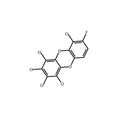 Fc1ccc2c(c1Cl)Oc1c(Cl)c(Cl)c(Cl)c(Cl)c1O2